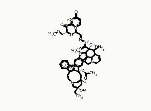 CC[C@]1(O)C[C@@H]2CN(CCc3c([nH]c4ccccc34)[C@@](OC(C)=O)(c3cc4c(cc3OC)N(C)C3C45CCN4CC=C[C@](CC)(C45)[C@@H](O)[C@]3(O)C(=O)N/N=C/[C@@H](O[C@@H](C=O)COC)n3ccc(=O)[nH]c3=O)C2)C1